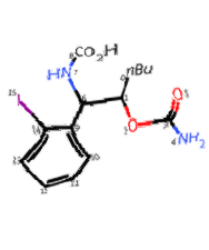 CCCCC(OC(N)=O)C(NC(=O)O)c1ccccc1I